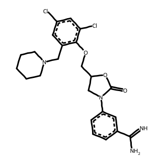 N=C(N)c1cccc(N2CC(COc3c(Cl)cc(Cl)cc3CN3CCCCC3)OC2=O)c1